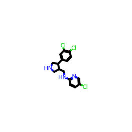 Clc1ccc(NCC2CNCC2c2ccc(Cl)c(Cl)c2)nc1